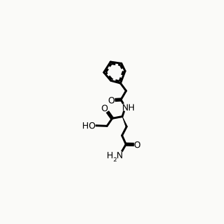 NC(=O)CC[C@H](NC(=O)Cc1ccccc1)C(=O)CO